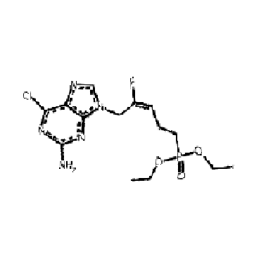 CCOP(=O)(CC/C=C(/F)Cn1cnc2c(Cl)nc(N)nc21)OCC